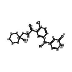 CC(C)N(c1ccc(Cl)c(C(=O)NCC2(O)CCCCC2)c1)c1cc[nH]c(=O)n1